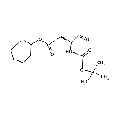 CC(C)(C)OC(=O)N[C@H](C=O)CC(=O)OC1CCCCC1